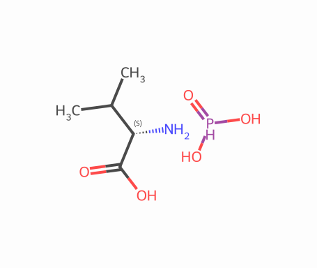 CC(C)[C@H](N)C(=O)O.O=[PH](O)O